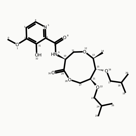 COc1ccnc(C(=O)N[C@H]2CO[C@@H](C)[C@H](OCC(C)C)[C@@H](OCC(C)C)COC2=O)c1O